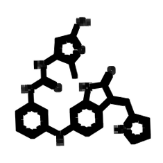 Cc1oc(C(C)(C)C)cc1NC(=O)Nc1cccc(Nc2ccc3c(c2)NC(=O)C3=Cc2ccc[nH]2)c1